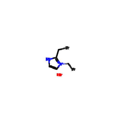 CC(C)Cc1[nH]cc[n+]1CC(C)C.[OH-]